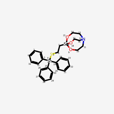 c1cc[c]([Sn]([S]CC[Si]23OCCN(CCO2)CCO3)([c]2ccccc2)[c]2ccccc2)cc1